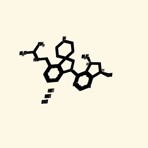 CC(C)NCc1cccc2c1C1(CCNCC1)CN2c1ncnc2c1[C@H](C)C[C@H]2O.Cl.Cl.Cl